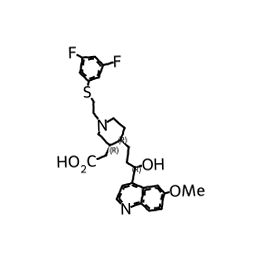 COc1ccc2nccc([C@H](O)CC[C@@H]3CCN(CCSc4cc(F)cc(F)c4)C[C@@H]3CC(=O)O)c2c1